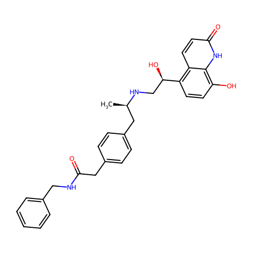 C[C@H](Cc1ccc(CC(=O)NCc2ccccc2)cc1)NC[C@@H](O)c1ccc(O)c2[nH]c(=O)ccc12